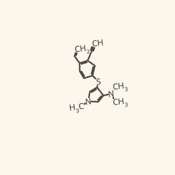 C#Cc1cc(Sc2cn(C)cc2N(C)C)ccc1C=C